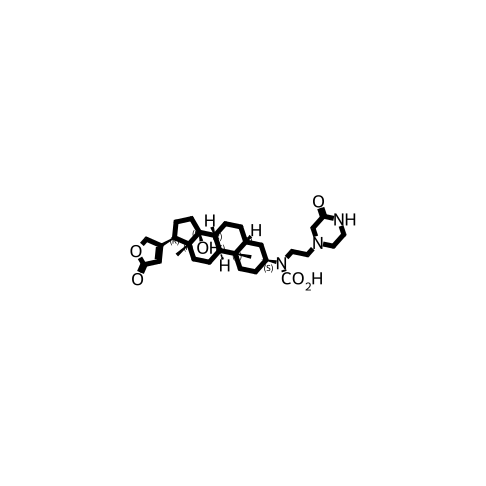 C[C@]12CC[C@H](N(CCN3CCNC(=O)C3)C(=O)O)C[C@H]1CC[C@@H]1[C@@H]2CC[C@]2(C)[C@@H](C3=CC(=O)OC3)CC[C@]12O